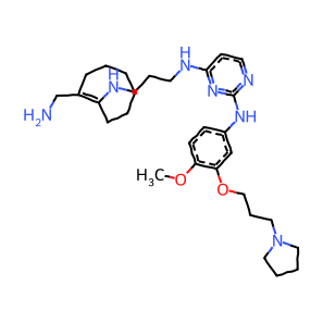 COc1ccc(Nc2nccc(NCCCN/C3=C(/CN)CCCCCC3)n2)cc1OCCCN1CCCC1